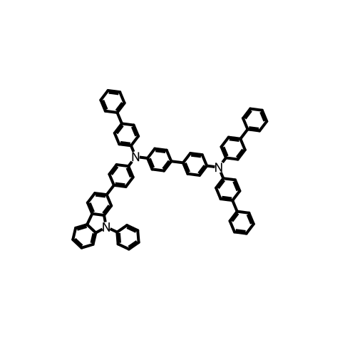 c1ccc(-c2ccc(N(c3ccc(-c4ccccc4)cc3)c3ccc(-c4ccc(N(c5ccc(-c6ccccc6)cc5)c5ccc(-c6ccc7c8ccccc8n(-c8ccccc8)c7c6)cc5)cc4)cc3)cc2)cc1